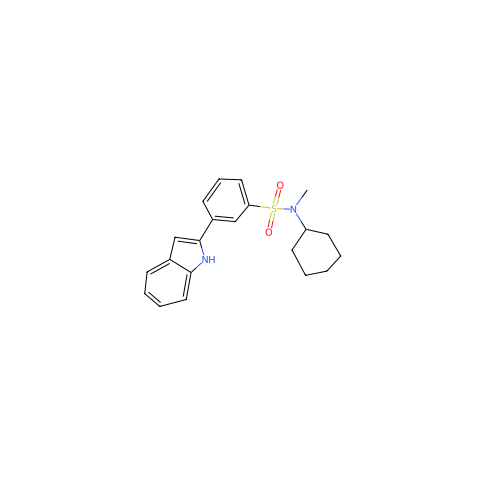 CN(C1CCCCC1)S(=O)(=O)c1cccc(-c2cc3ccccc3[nH]2)c1